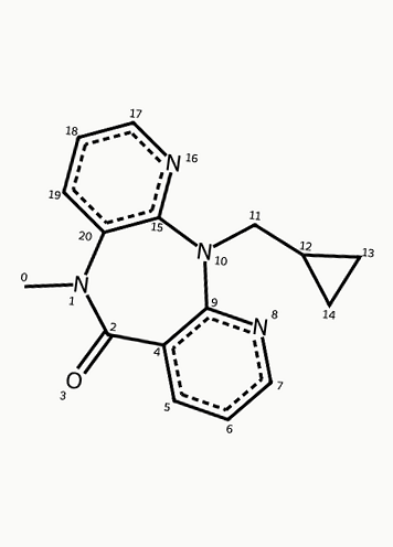 CN1C(=O)c2cccnc2N(CC2CC2)c2ncccc21